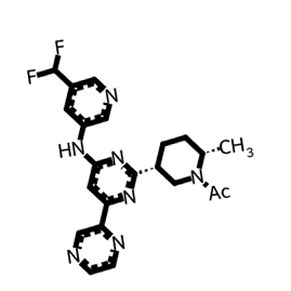 CC(=O)N1C[C@H](c2nc(Nc3cncc(C(F)F)c3)cc(-c3cnccn3)n2)CC[C@@H]1C